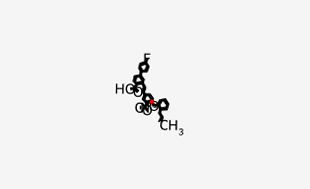 CC=CCc1ccccc1Oc1ccc(C=Cc2cc(-c3ccc(F)cc3)ccc2C(=O)O)cc1[N+](=O)[O-]